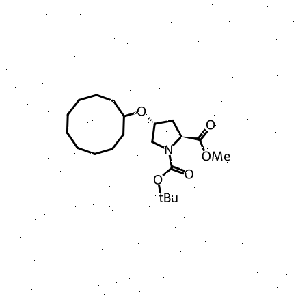 COC(=O)[C@@H]1C[C@@H](OC2CCCCCCCCC2)CN1C(=O)OC(C)(C)C